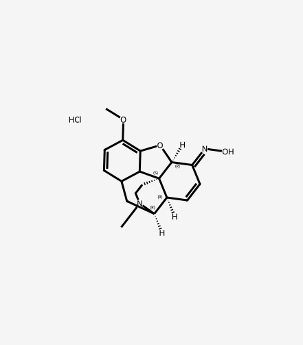 COC1=C2O[C@H]3C(=NO)C=C[C@H]4[C@H]5CC(C=C1)C2[C@@]34CCN5C.Cl